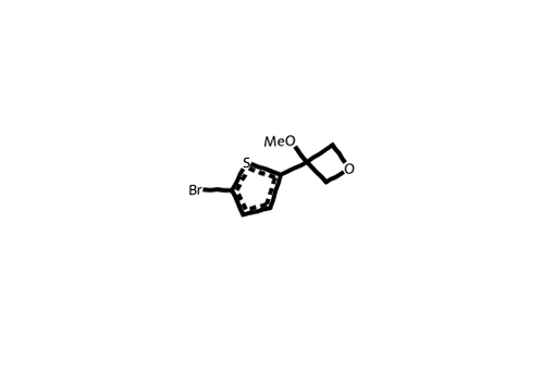 COC1(c2ccc(Br)s2)COC1